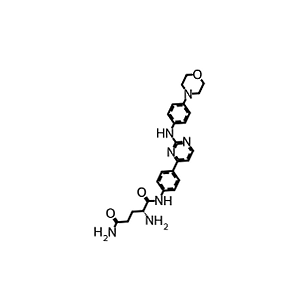 NC(=O)CC[C@@H](N)C(=O)Nc1ccc(-c2ccnc(Nc3ccc(N4CCOCC4)cc3)n2)cc1